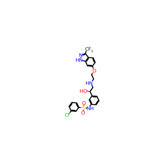 O=S(=O)(Nc1cccc([C@@H](O)CNCCOc2ccc3c(C(F)(F)F)n[nH]c3c2)c1)c1cccc(Cl)c1